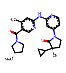 CO[C@H]1CCN(C(=O)c2cnc(Nc3cc(N4CC[C@@](C#N)(C5CC5)C4=O)ccn3)cc2C)C1